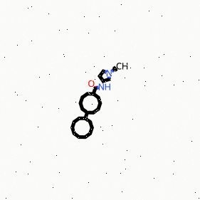 C#CN1CC[C@@H](NC(=O)C2CCCCC(C3CCCCCCCCC3)CCCC2)C1